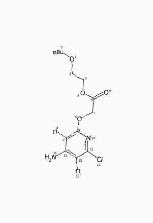 CCCCOCCOC(=O)COc1nc(Cl)c(Cl)c(N)c1Cl